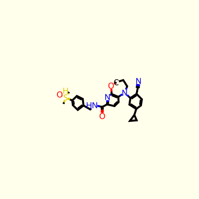 C[SH](C)(=O)c1ccc(CNC(=O)c2ccc3c(n2)OCCCN3c2cc(C3CC3)ccc2C#N)cc1